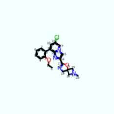 CCOc1ccccc1-c1cc(Cl)cn2cc(C3=NCC4(CN(C)C4)O3)nc12